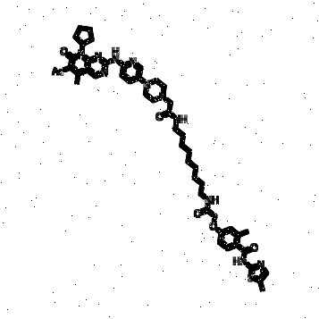 CC(=O)c1c(C)c2cnc(Nc3ccc(N4CCN(CC(=O)NCCCCCCCCCNC(=O)COc5ccc(C(=O)Nc6ncc(C)s6)c(C)c5)CC4)cn3)nc2n(C2CCCC2)c1=O